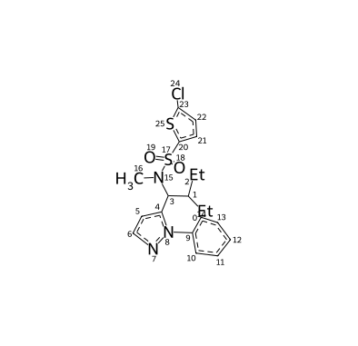 CCC(CC)C(c1ccnn1-c1ccccc1)N(C)S(=O)(=O)c1ccc(Cl)s1